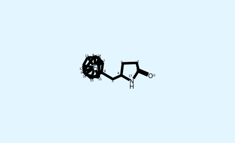 O=C1CCC(C[C]23[CH]4[CH]5[CH]6[CH]2[Fe]56432789[CH]3[CH]2[CH]7[CH]8[CH]39)N1